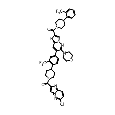 O=C(c1cn2nc(Cl)ccc2n1)N1CCC(c2ccc(-c3cc4nc(C(=O)N5CCC(c6ccccc6C(F)(F)F)CC5)cn4nc3N3CCOCC3)cc2C(F)(F)F)CC1